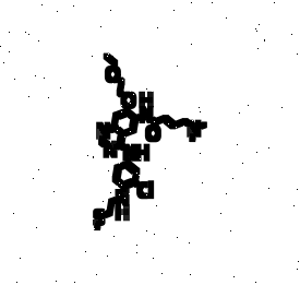 CCOCCOc1cc2ncnc(Nc3ccc(NCCSC)c(Cl)c3)c2cc1NC(=O)/C=C/CN(C)C